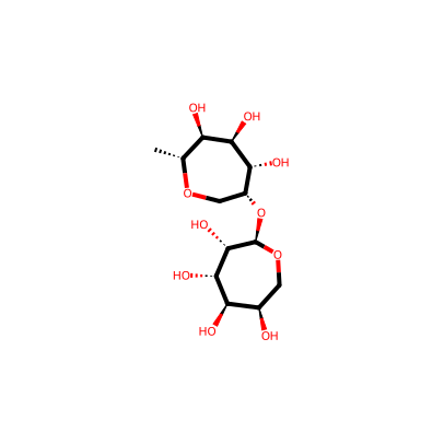 C[C@H]1OC[C@@H](O[C@H]2OC[C@@H](O)[C@@H](O)[C@H](O)[C@@H]2O)[C@@H](O)[C@H](O)[C@@H]1O